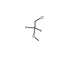 COC(F)(F)CCl